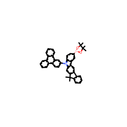 CC1(C)c2ccccc2-c2cc3c4cc(B5OC(C)(C)C(C)(C)O5)ccc4n(-c4ccc5c6ccccc6c6ccccc6c5c4)c3cc21